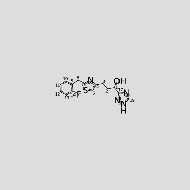 OC(CCc1csc(Cc2ccccc2F)n1)c1nc[nH]n1